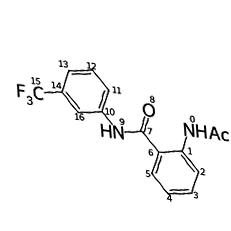 CC(=O)Nc1ccccc1C(=O)Nc1cccc(C(F)(F)F)c1